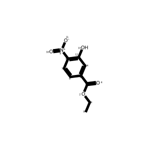 CCOC(=O)c1ccc([N+](=O)[O-])c(O)c1